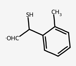 Cc1ccccc1C(S)[C]=O